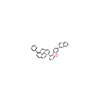 c1ccc(-c2ccc3ccc4c(-c5cccc6oc7cc(-c8ccc9ccccc9c8)ccc7c56)ccc5ccc2c3c54)cc1